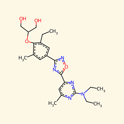 CCc1cc(-c2noc(-c3cc(C)nc(N(CC)CC)n3)n2)cc(C)c1OC(CO)CO